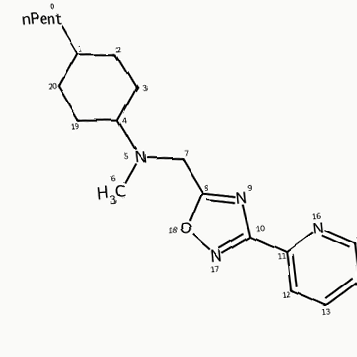 CCCCCC1CCC(N(C)Cc2nc(-c3ccccn3)no2)CC1